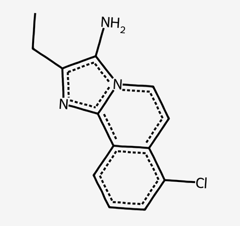 CCc1nc2c3cccc(Cl)c3ccn2c1N